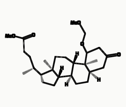 COCOC1CC(=O)C[C@H]2CC[C@H]3[C@@H]4CC[C@H]([C@H](C)CCC(=O)OC)[C@@]4(C)CC[C@@H]3[C@@]12C